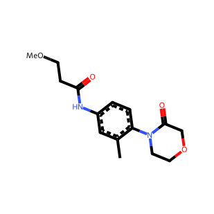 COCCC(=O)Nc1ccc(N2CCOCC2=O)c(C)c1